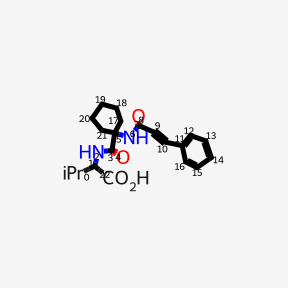 CC(C)C(NC(=O)C1(NC(=O)C#Cc2ccccc2)CCCCC1)C(=O)O